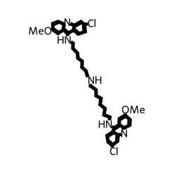 COc1ccc2nc3cc(Cl)ccc3c(NCCCCCCCCNCCCCCCCCNc3c4ccc(Cl)cc4nc4ccc(OC)cc34)c2c1